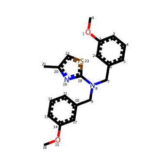 COc1cccc(CN(Cc2cccc(OC)c2)c2nc(C)cs2)c1